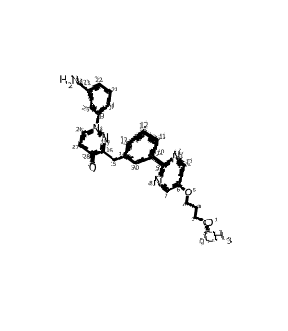 COCCCOc1cnc(-c2cccc(Cc3nn(-c4cccc(N)c4)ccc3=O)c2)nc1